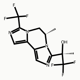 C[C@H]1Cn2c(cnc2C(F)(F)F)-c2cnc([C@@](C)(O)C(F)(F)F)n21